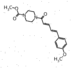 COC(=O)N1CCN(C(=O)/C=C/C=C/c2ccc(OC)cc2)CC1